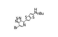 CCCCNc1cc2sc(-c3ncc(Br)c4nsnc34)cc2s1